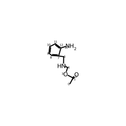 CC(=O)OCNCc1ccccc1N